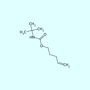 C=CCCCOC(=O)NC(C)(C)C